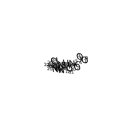 COC(=O)CCC(=O)Nc1cccc(-c2nn3nc(C(C)(C)C)c(Cl)c3[nH]2)c1